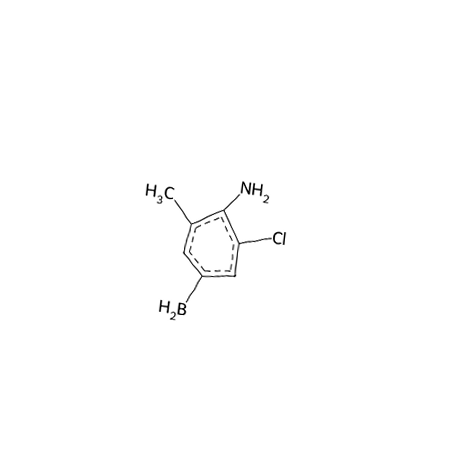 Bc1cc(C)c(N)c(Cl)c1